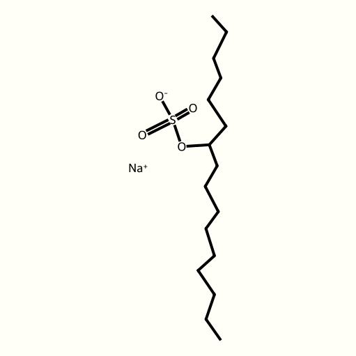 CCCCCCCCCC(CCCCCC)OS(=O)(=O)[O-].[Na+]